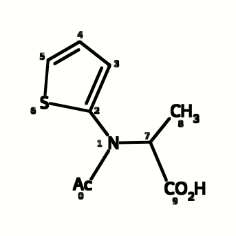 CC(=O)N(c1cccs1)C(C)C(=O)O